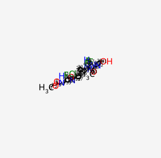 CCOC(=O)CNCc1cc(F)c2oc(-c3cccc(-c4cccc5c4CC[C@H]5Nc4nc(OC)c(CN5CC[C@@H](O)C5)nc4C(F)(F)F)c3Cl)nc2c1